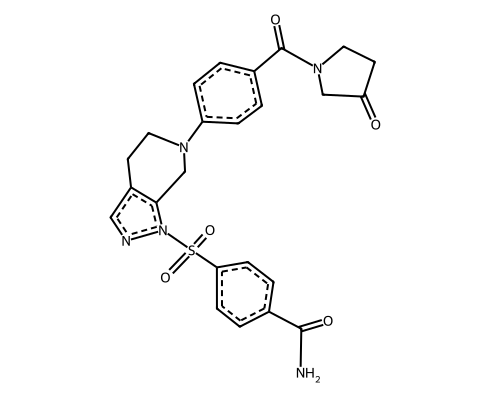 NC(=O)c1ccc(S(=O)(=O)n2ncc3c2CN(c2ccc(C(=O)N4CCC(=O)C4)cc2)CC3)cc1